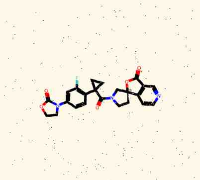 O=C1O[C@]2(CCN(C(=O)C3(c4ccc(N5CCOC5=O)cc4F)CC3)C2)c2ccncc21